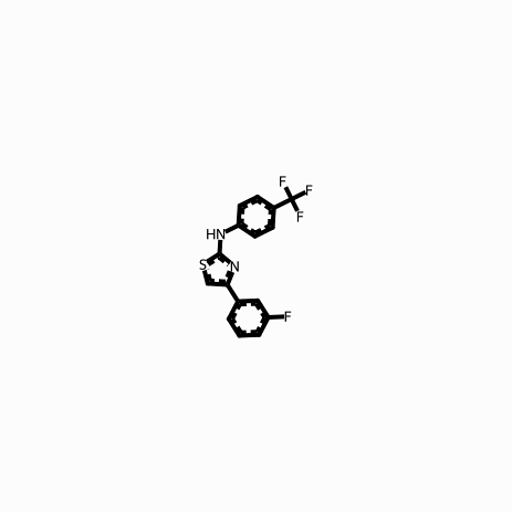 Fc1cccc(-c2csc(Nc3ccc(C(F)(F)F)cc3)n2)c1